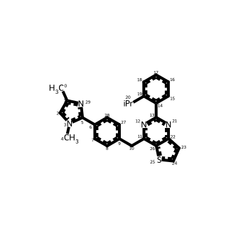 Cc1cn(C)c(-c2ccc(Cc3nc(-c4ccccc4C(C)C)nc4ccsc34)cc2)n1